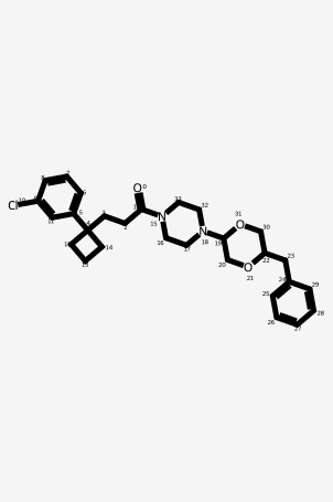 O=C(CCC1(c2cccc(Cl)c2)CCC1)N1CCN(C2COC(Cc3ccccc3)CO2)CC1